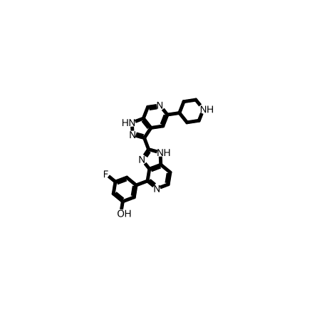 Oc1cc(F)cc(-c2nccc3[nH]c(-c4n[nH]c5cnc(C6CCNCC6)cc45)nc23)c1